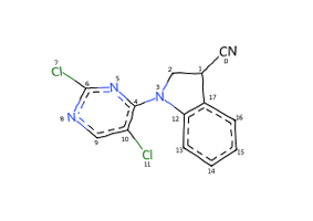 N#CC1CN(c2nc(Cl)ncc2Cl)c2ccccc21